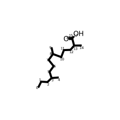 CCCC(C)CCCC(C)CCCC(C)C(=O)O